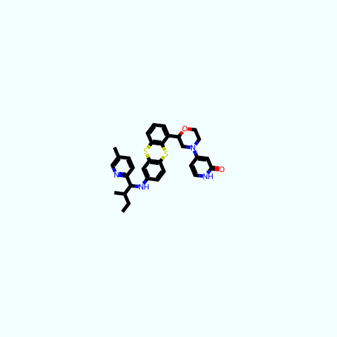 CCC(C)C(Nc1ccc2c(c1)Sc1cccc(C3CN(c4cc[nH]c(=O)c4)CCO3)c1S2)c1ccc(C)cn1